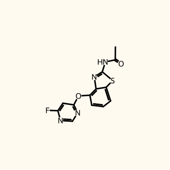 CC(=O)Nc1nc2c(Oc3cc(F)ncn3)cccc2s1